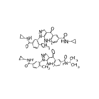 Cc1ccc(C(=O)NC2CC2)cc1-n1ncc(C(=O)c2cccc(C(=O)NC(C)C)c2)c1N.Cc1ccc(C(=O)NC2CC2)cc1-n1ncc(C(=O)c2cccc(C(=O)NC3CC3)c2)c1N